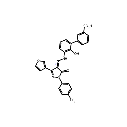 O=C(O)c1cccc(-c2cccc(N/N=C3\C(=O)N(c4ccc(C(F)(F)F)cc4)N=C3c3ccsc3)c2O)c1